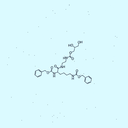 O=C(NCCCCC(NC(=O)OCc1ccccc1)C(=O)NCCNC(=O)OCC(O)CO)OCc1ccccc1